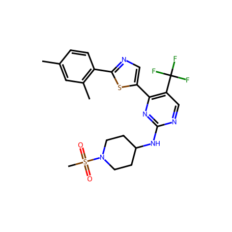 Cc1ccc(-c2ncc(-c3nc(NC4CCN(S(C)(=O)=O)CC4)ncc3C(F)(F)F)s2)c(C)c1